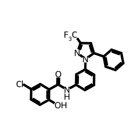 O=C(Nc1cccc(-n2nc(C(F)(F)F)cc2-c2ccccc2)c1)c1cc(Cl)ccc1O